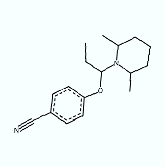 CCC(Oc1ccc(C#N)cc1)N1C(C)CCCC1C